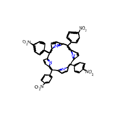 O=[N+]([O-])c1ccc(C2=C3C=CC(=N3)C(c3ccc([N+](=O)[O-])cc3)=C3C=CC(=N3)C(c3ccc([N+](=O)[O-])cc3)=C3C=CC(=N3)C(c3ccc([N+](=O)[O-])cc3)=C3C=CC2=N3)cc1